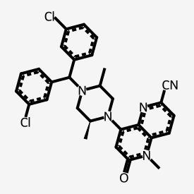 CC1CN(c2cc(=O)n(C)c3ccc(C#N)nc23)[C@@H](C)CN1C(c1cccc(Cl)c1)c1cccc(Cl)c1